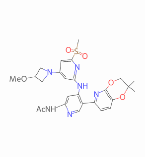 COC1CN(c2cc(Nc3cc(NC(C)=O)ncc3-c3ccc4c(n3)OCC(C)(C)O4)nc(S(C)(=O)=O)c2)C1